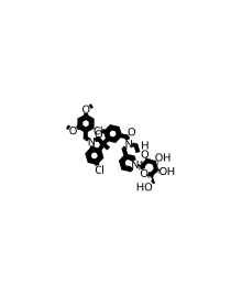 CCN(Cc1ccc[n+]([C@@H]2O[C@H](CO)[C@@H](O)[C@H](O)[C@H]2O)c1)C(=O)c1ccc(Cl)c(C2(C)C(=O)N(Cc3ccc(OC)cc3OC)c3ccc(Cl)cc32)c1